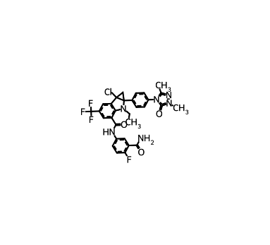 CCN1c2c(C(=O)Nc3ccc(F)c(C(N)=O)c3)cc(C(F)(F)F)cc2C2(Cl)CC12c1ccc(-n2c(C)nn(C)c2=O)cc1